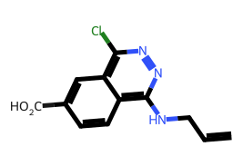 C=CCNc1nnc(Cl)c2cc(C(=O)O)ccc12